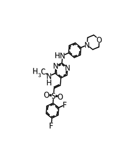 CNc1nc(Nc2ccc(N3CCOCC3)cc2)ncc1/C=C/S(=O)(=O)c1ccc(F)cc1F